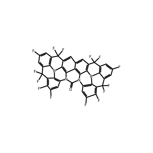 O=C1N2c3cc(F)c(F)c4c3B3c5c(cc(F)cc5C4(F)F)C(F)(F)c4cc5cc6c7c(c5c2c43)N1c1cc(F)c(F)c2c1B7c1c(cc(F)cc1C2(F)F)C6(F)F